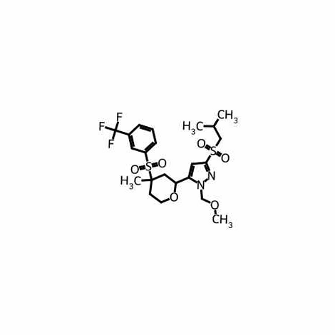 COCn1nc(S(=O)(=O)CC(C)C)cc1C1CC(C)(S(=O)(=O)c2cccc(C(F)(F)F)c2)CCO1